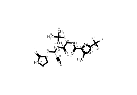 Cc1sc(C(F)(F)F)nc1C(=O)N[C@@H](CC(C)(C)C)C(=O)N[C@H](C#N)C[C@@H]1CCNC1=O